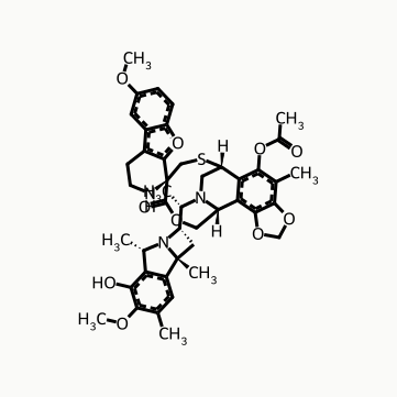 COc1ccc2oc3c(c2c1)CCN[C@]31CS[C@H]2CN([C@@H](C)[C@@H]3C[C@]4(C)c5cc(C)c(OC)c(O)c5[C@H](C)N34)[C@@H](COC1=O)c1c3c(c(C)c(OC(C)=O)c12)OCO3